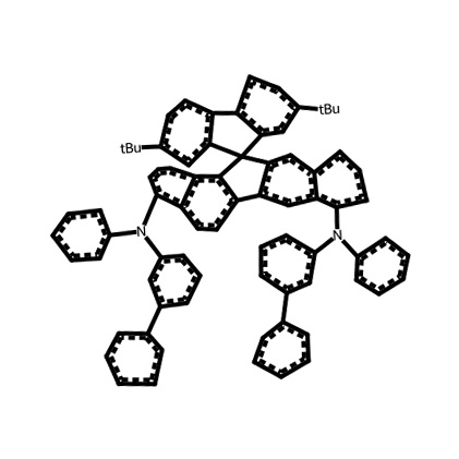 CC(C)(C)c1ccc2c(c1)C1(c3cc(C(C)(C)C)ccc3-2)c2cc3cccc(N(c4ccccc4)c4cccc(-c5ccccc5)c4)c3cc2-c2ccc3c(N(c4ccccc4)c4cccc(-c5ccccc5)c4)cccc3c21